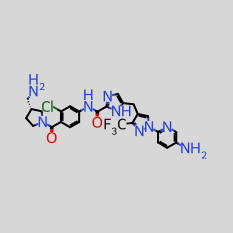 NC[C@H]1CCN(C(=O)c2ccc(NC(=O)c3ncc(Cc4cn(-c5ccc(N)cn5)nc4C(F)(F)F)[nH]3)cc2Cl)C1